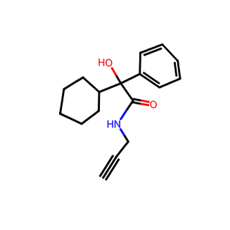 C#CCNC(=O)C(O)(c1ccccc1)C1CCCCC1